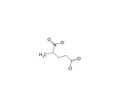 CC(CCC(=O)Cl)[N+](=O)[O-]